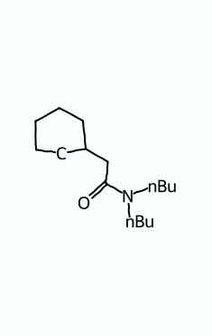 CCCCN(CCCC)C(=O)CC1CCCCC1